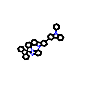 c1ccc(-n2c3ccccc3c3cc(-c4ccc5c(c4)c4ccccc4n5-c4cccc5nc6n(c45)-c4ccccc4C64c5ccccc5-c5ccccc54)ccc32)cc1